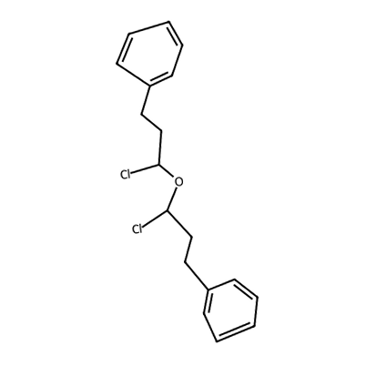 ClC(CCc1ccccc1)OC(Cl)CCc1ccccc1